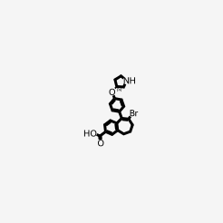 O=C(O)c1ccc2c(c1)CCCC(Br)=C2c1ccc(O[C@H]2CCNC2)cc1